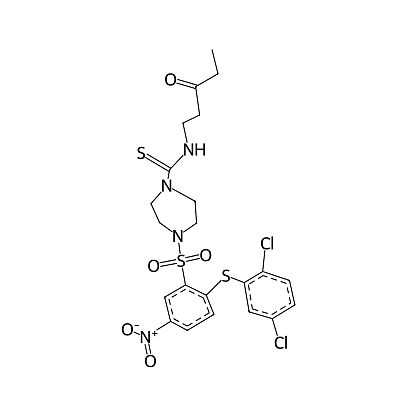 CCC(=O)CCNC(=S)N1CCN(S(=O)(=O)c2cc([N+](=O)[O-])ccc2Sc2cc(Cl)ccc2Cl)CC1